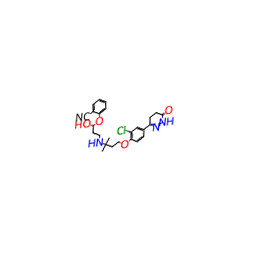 CC(C)(CCOc1ccc(C2=NNC(=O)CC2)cc1Cl)NCCC(O)Oc1ccccc1C#N